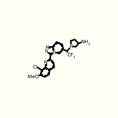 COc1ccc2ccc(-c3nnc4ccc([C@@H](N5CCC(N)C5)C(F)(F)F)cn34)nc2c1Cl